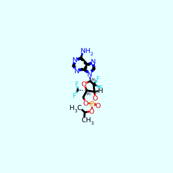 CC(C)OP1(=O)OC[C@@]2(C(F)F)O[C@@H](n3cnc4c(N)ncnc43)C(F)(F)[C@@H]2O1